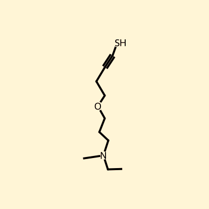 CCN(C)CCCOCCC#CS